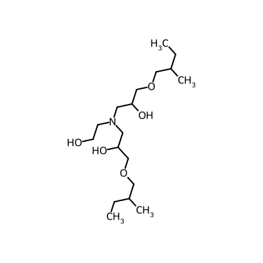 CCC(C)COCC(O)CN(CCO)CC(O)COCC(C)CC